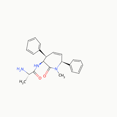 C[C@H](N)C(=O)N[C@@H]1C(=O)N(C)[C@H](c2ccccc2)C=C[C@@H]1c1ccccc1